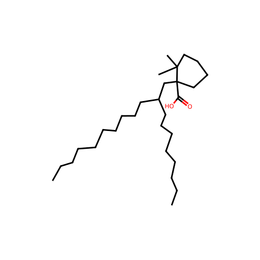 CCCCCCCCCCC(CCCCCCCC)CC1(C(=O)O)CCCCC1(C)C